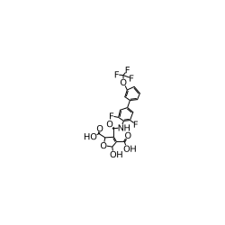 O=C(O)C1=C(C(=O)Nc2c(F)cc(-c3cccc(OC(F)(F)F)c3)cc2F)C(C(=O)O)OC1O